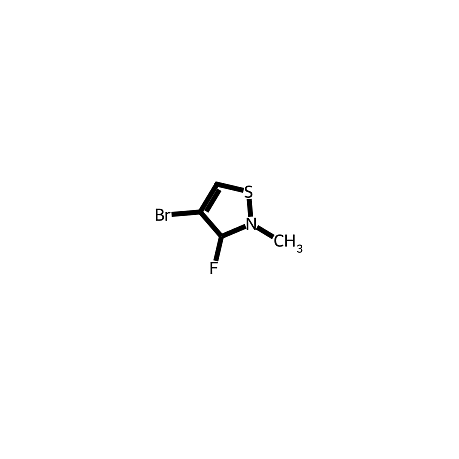 CN1SC=C(Br)C1F